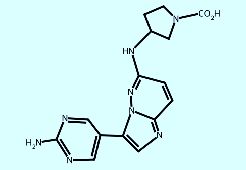 Nc1ncc(-c2cnc3ccc(NC4CCN(C(=O)O)C4)nn23)cn1